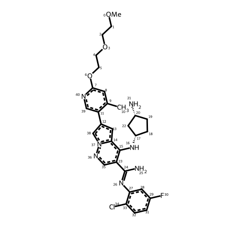 COCCOCCOc1cc(C)c(-c2cc3c(N[C@H]4CC[C@@H](N)C4)c(C(N)=Nc4cc(F)ccc4Cl)cnn3c2)cn1